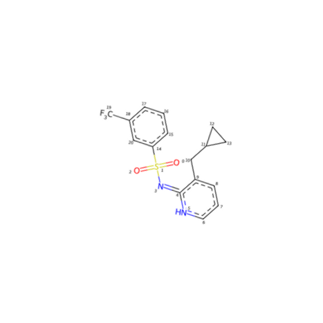 O=S(=O)(N=c1[nH]cccc1CC1CC1)c1cccc(C(F)(F)F)c1